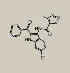 Cc1nnsc1C(=O)Nc1c(C(=O)c2ccccc2)[nH]c2cc(Cl)ccc12